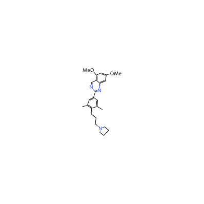 COc1cc(OC)c2cnc(-c3cc(C)c(CCCN4CCCC4)c(C)c3)nc2c1